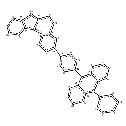 c1ccc(-c2c3ccccc3c(-c3ccc(-c4ccc5c(ccc6oc7ccccc7c65)c4)cc3)c3ccccc23)cc1